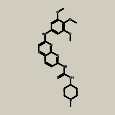 COc1cc(Nc2cnc3ccc(NC(=S)NC4CCN(C)CC4)nc3n2)cc(OC)c1OC